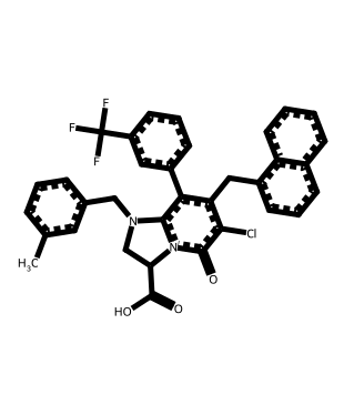 Cc1cccc(CN2CC(C(=O)O)n3c2c(-c2cccc(C(F)(F)F)c2)c(Cc2cccc4ccccc24)c(Cl)c3=O)c1